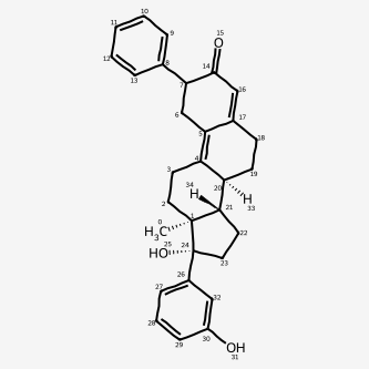 C[C@]12CCC3=C4CC(c5ccccc5)C(=O)C=C4CC[C@H]3[C@@H]1CC[C@@]2(O)c1cccc(O)c1